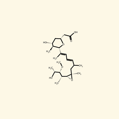 CO[C@H]([C@@H](C)[C@H]1O[C@]1(C)CC(C)/C=C/C=C(\C)[C@H]1O[C@@H](CC(=O)O)C[C@@H](O)[C@@H]1C)[C@@H](C)O